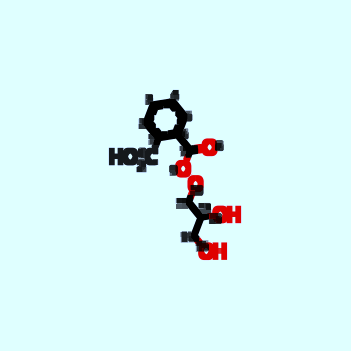 O=C(O)c1ccccc1C(=O)OOCC(O)CO